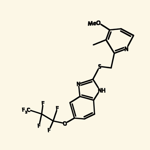 COc1ccnc(CSc2nc3cc(OC(F)(F)C(F)(F)C(F)(F)F)ccc3[nH]2)c1C